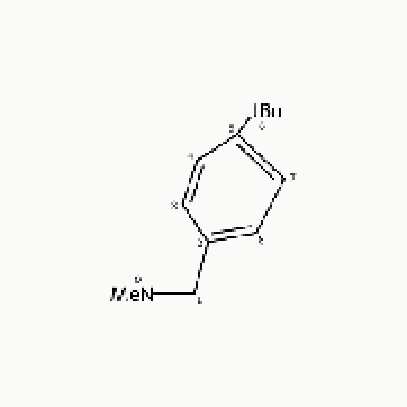 CNCc1ccc(C(C)(C)C)cc1